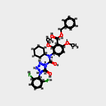 COc1ccc(N(C(=O)n2nnn(-c3c(F)cccc3F)c2=O)C2CCCCC2)c(OC)c1C(=O)OCc1ccccc1